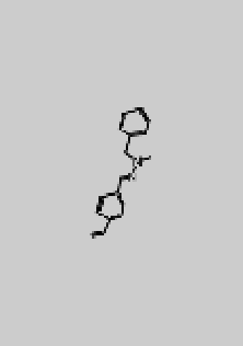 C=Cc1ccc(C=NN(C)Cc2ccccc2)cc1